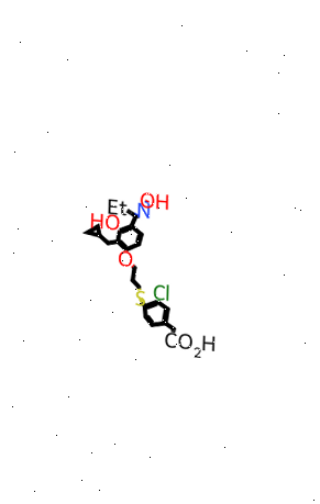 CC/C(=N\O)c1ccc(OCCCSc2ccc(CC(=O)O)cc2Cl)c(CC2CC2)c1O